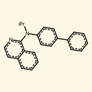 CC(C)N(c1ccc(-c2ccccc2)cc1)c1nccc2ccccc12